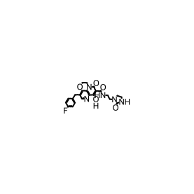 O=C(NCCN1CCNC1=O)c1c(O)c2ncc(Cc3ccc(F)cc3)c3c2n(c1=O)CCO3